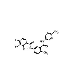 Cc1ccc(NC(=O)c2ccc(F)c(Cl)c2F)cc1C(=O)Nc1cnc(N)nc1